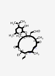 CC[C@H]1OC(=O)CC[C@H](C)[C@@H](OC2OC(C)CC(N(C)C)C2O)[C@@H](CC=O)C[C@@H](C)C(=O)/C=C/C(C)=C/[C@@H]1CI